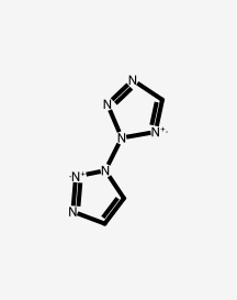 C1=CN(N2N=NC=[N+]2)[N+]=N1